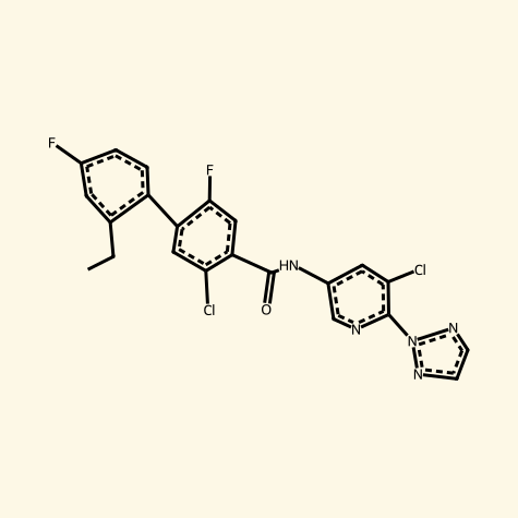 CCc1cc(F)ccc1-c1cc(Cl)c(C(=O)Nc2cnc(-n3nccn3)c(Cl)c2)cc1F